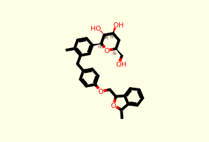 Cc1ccc([C@@H]2O[C@H](CO)C[C@H](O)[C@H]2O)cc1Cc1ccc(OCC2OC(C)c3ccccc32)cc1